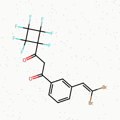 O=C(CC(=O)C1(F)C(F)(F)C(F)(F)C1(F)F)c1cccc(C=C(Br)Br)c1